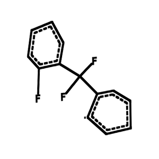 Fc1ccccc1C(F)(F)c1[c]cccc1